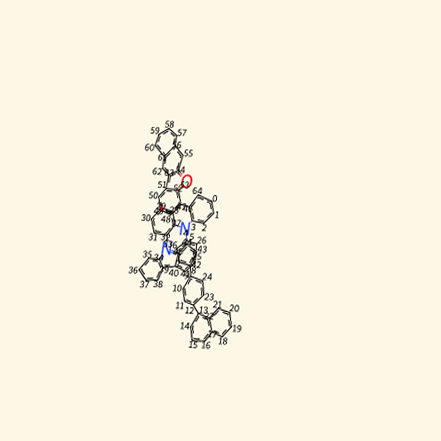 c1ccc(N(c2ccc(-c3ccc(-c4cccc5ccccc45)cc3)cc2)c2ccccc2-n2c3ccccc3c3ccccc32)c(-c2cccc3c2oc2cc4ccccc4cc23)c1